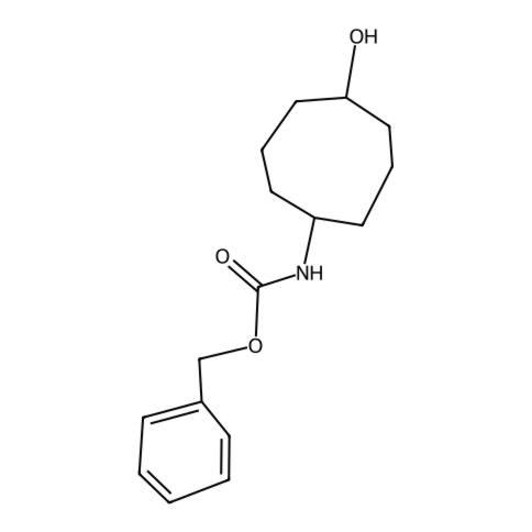 O=C(NC1CCCC(O)CCC1)OCc1ccccc1